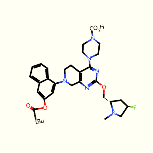 CN1C[C@H](F)C[C@H]1COc1nc2c(c(N3CCN(C(=O)O)CC3)n1)CCN(c1cc(OC(=O)C(C)(C)C)cc3ccccc13)C2